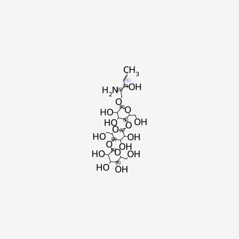 C/C=C/[C@@H](O)[C@@H](N)CO[C@@H]1OC(CO)[C@@H](O[C@@H]2OC(CO)[C@H](O[C@H]3OC(CO)[C@H](O)C(O)C3O)C(O)C2O)C(O)C1O